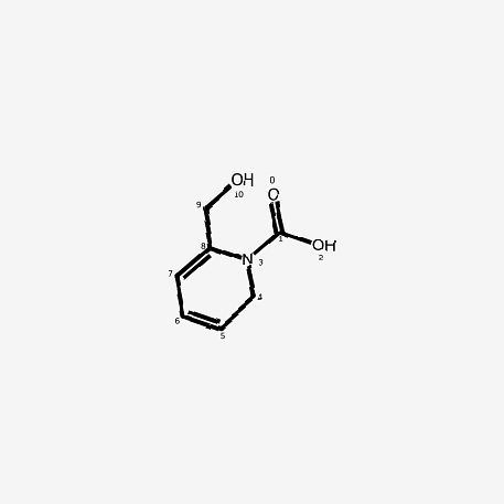 O=C(O)N1CC=CC=C1CO